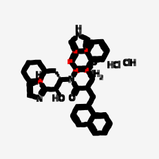 Cl.Cl.NC(=O)[C@H](Cc1c[nH]cn1)N(C(=O)C(Cc1cccc2ccccc12)Cc1cccc2ccccc12)[C@@H](CC1CCCCC1)[C@@H](O)c1ncc[nH]1